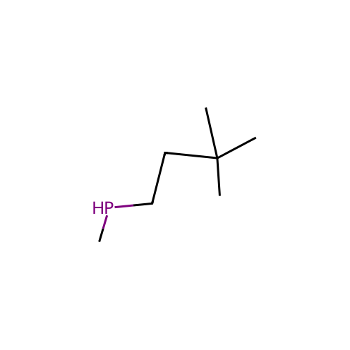 CPCCC(C)(C)C